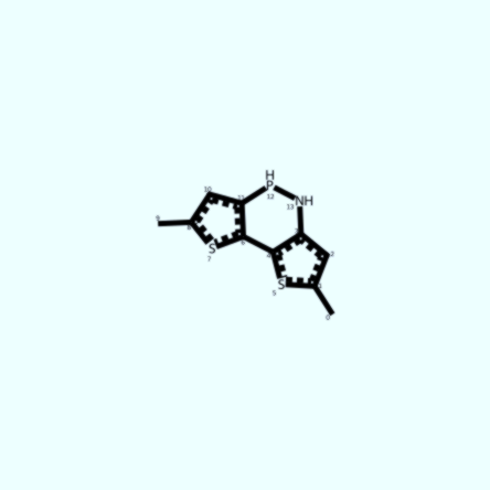 Cc1cc2c(s1)-c1sc(C)cc1PN2